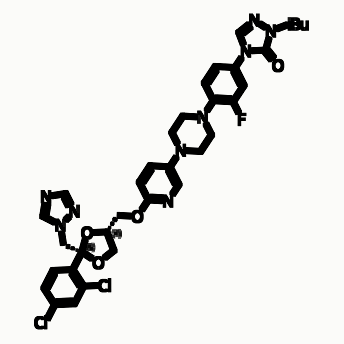 CCC(C)n1ncn(-c2ccc(N3CCN(c4ccc(OC[C@@H]5CO[C@@](Cn6cncn6)(c6ccc(Cl)cc6Cl)O5)nc4)CC3)c(F)c2)c1=O